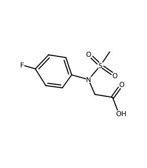 CS(=O)(=O)N(CC(=O)O)c1ccc(F)cc1